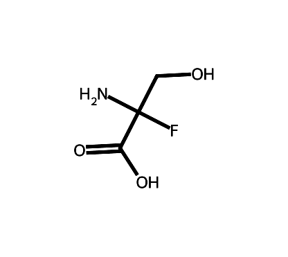 NC(F)(CO)C(=O)O